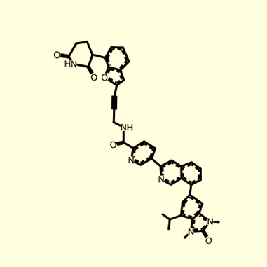 CC(C)c1cc(-c2cccc3cc(-c4ccc(C(=O)NCC#Cc5cc6cccc(C7CCC(=O)NC7=O)c6o5)nc4)ncc23)cc2c1n(C)c(=O)n2C